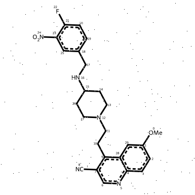 COc1ccc2ncc(C#N)c(CCN3CCC(NCc4ccc(F)c([N+](=O)[O-])c4)CC3)c2c1